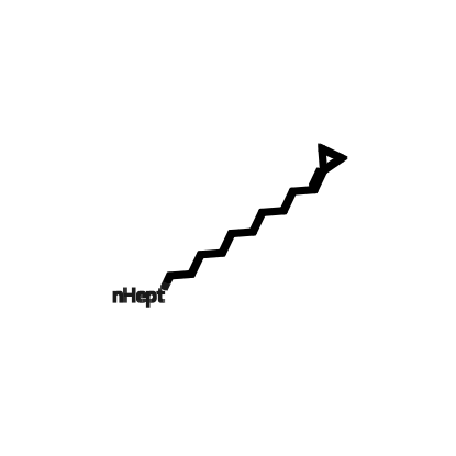 CCCCCCCCCCCCCCCCC=C1CC1